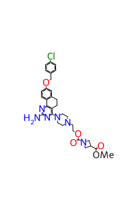 COC(=O)C1CN(C(=O)OCCN2CCN(c3nc(N)nc4c3CCc3cc(OCc5ccc(Cl)cc5)ccc3-4)CC2)C1